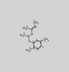 C/N=C(\C)CC(C)Cc1cc(C)ccc1C